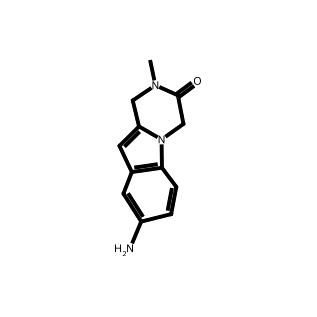 CN1Cc2cc3cc(N)ccc3n2CC1=O